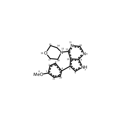 COc1ccc(-c2c[nH]c3ncnc(N4CCOCC4)c23)cc1